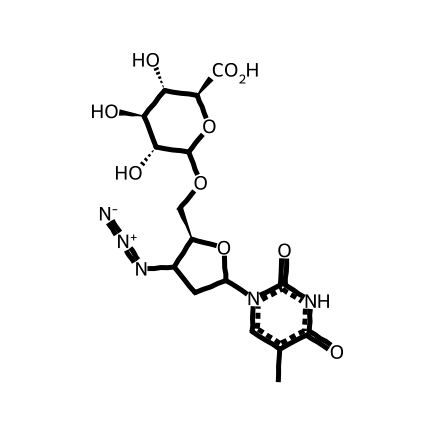 Cc1cn(C2CC(N=[N+]=[N-])[C@@H](COC3O[C@H](C(=O)O)[C@@H](O)[C@H](O)[C@H]3O)O2)c(=O)[nH]c1=O